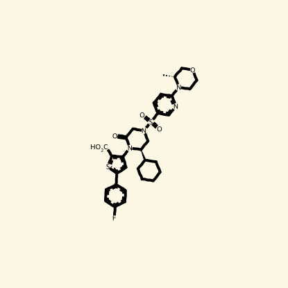 C[C@@H]1COCCN1c1ccc(S(=O)(=O)N2CC(=O)N(c3cc(-c4ccc(F)cc4)sc3C(=O)O)[C@H](C3CCCCC3)C2)cn1